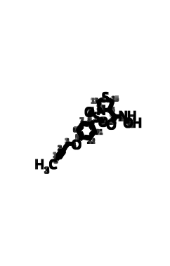 CC#CCOc1ccc(S(=O)(=O)N2CSCC2C(=O)NO)cc1